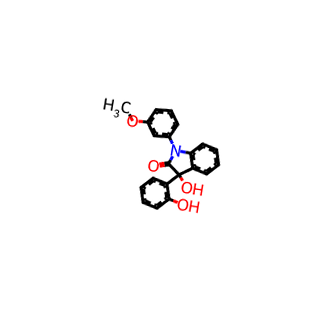 COc1cccc(N2C(=O)C(O)(c3ccccc3O)c3ccccc32)c1